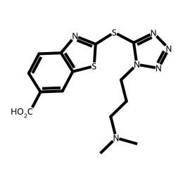 CN(C)CCCn1nnnc1Sc1nc2ccc(C(=O)O)cc2s1